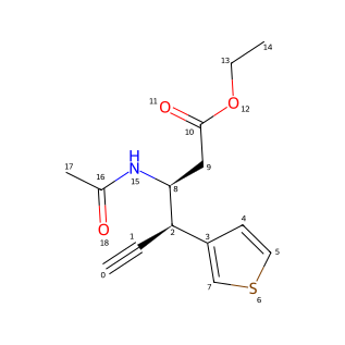 C#C[C@H](c1ccsc1)[C@H](CC(=O)OCC)NC(C)=O